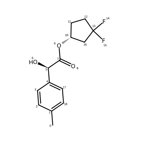 Cc1ccc([C@@H](O)C(=O)O[C@@H]2CCC(F)(F)C2)cc1